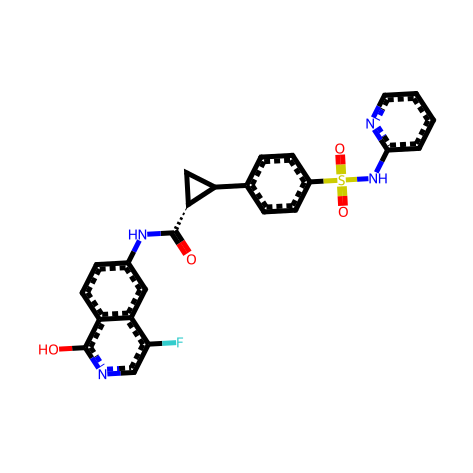 O=C(Nc1ccc2c(O)ncc(F)c2c1)[C@@H]1CC1c1ccc(S(=O)(=O)Nc2ccccn2)cc1